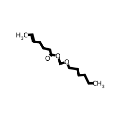 CC=CCCCC(=O)OCOCCCCCC